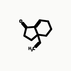 C=CC12CCCC=C1C(=O)CC2